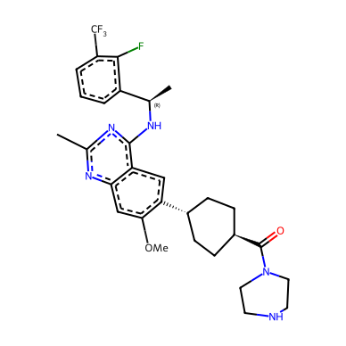 COc1cc2nc(C)nc(N[C@H](C)c3cccc(C(F)(F)F)c3F)c2cc1[C@H]1CC[C@H](C(=O)N2CCNCC2)CC1